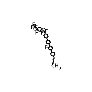 CCCCCC1CCC(c2ccc(-c3ccc(C4CCC(C(F)(F)Oc5ccc(OC(F)(F)F)c(F)c5)CC4)cc3)c(F)c2)CC1